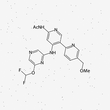 COCc1ccc(-c2cnc(NC(C)=O)cc2Nc2cncc(OC(F)F)n2)nc1